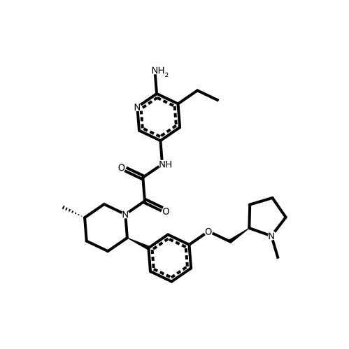 CCc1cc(NC(=O)C(=O)N2C[C@@H](C)CC[C@@H]2c2cccc(OC[C@H]3CCCN3C)c2)cnc1N